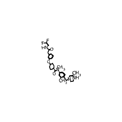 Cc1cc(N(C)C(=O)C2CCC(Oc3cccc(CC(=O)NCC(F)F)c3)CC2)ccc1CN1CCN[C@@H](C)C1